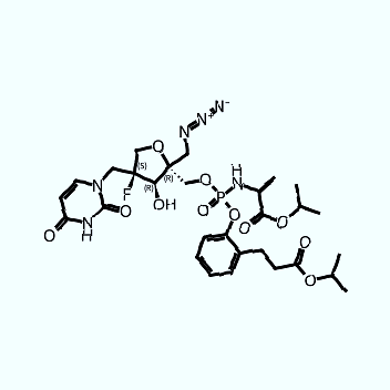 CC(C)OC(=O)CCc1ccccc1OP(=O)(NC(C)C(=O)OC(C)C)OC[C@@]1(CN=[N+]=[N-])OC[C@@](F)(Cn2ccc(=O)[nH]c2=O)[C@@H]1O